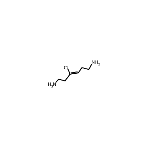 NCC/C=C(\Cl)CCN